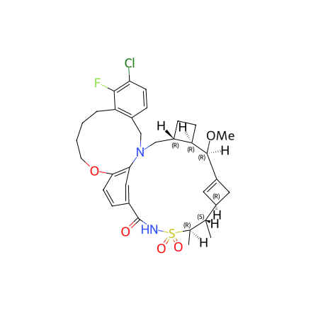 CO[C@H]1C2=C[C@@H](C2)[C@H](C)[C@@H](C)S(=O)(=O)NC(=O)c2ccc3c(c2)N(Cc2ccc(Cl)c(F)c2CCCCO3)C[C@@H]2CC[C@H]21